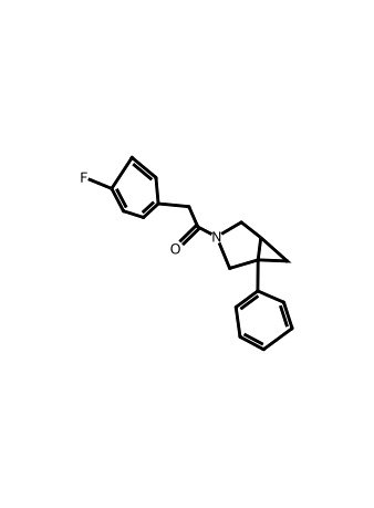 O=C(Cc1ccc(F)cc1)N1CC2CC2(c2ccccc2)C1